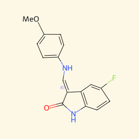 COc1ccc(N/C=C2/C(=O)Nc3ccc(F)cc32)cc1